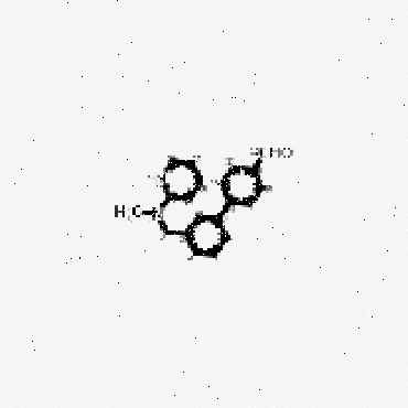 CN(Cc1cccc(-c2ccc(C=O)cc2)c1)c1ccccn1